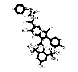 CC1CC(C(C)(C)C)C(OC(=O)c2c(-c3ccc(Cl)cc3)c(F)n3cc(C(=O)NS(=O)(=O)Nc4ccccc4)c(N)nc23)C(C(C)(C)C)C1